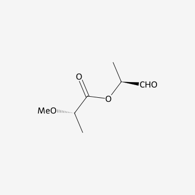 CO[C@@H](C)C(=O)O[C@@H](C)C=O